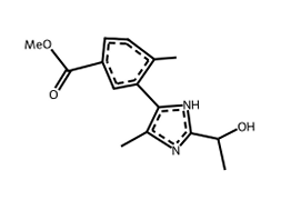 COC(=O)c1ccc(C)c(-c2[nH]c(C(C)O)nc2C)c1